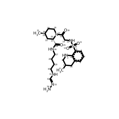 CC1CNc2c(cccc2S(=O)(=O)NCC(=O)N2CC[C@H](C)C[C@H]2C(=O)NCCCCNC=NN)C1